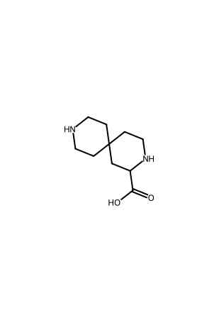 O=C(O)C1CC2(CCNCC2)CCN1